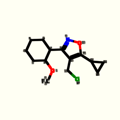 FC(F)(F)OC1CCCCC1c1noc(C2CC2)c1CCl